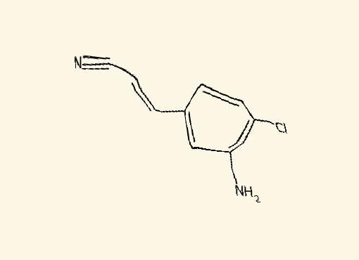 N#CC=Cc1ccc(Cl)c(N)c1